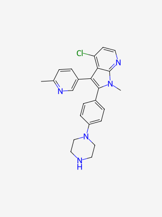 Cc1ccc(-c2c(-c3ccc(N4CCNCC4)cc3)n(C)c3nccc(Cl)c23)cn1